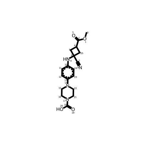 COC(=O)C1CC(C#N)(Nc2ccc(N3CCN(C(=O)O)CC3)cc2)C1